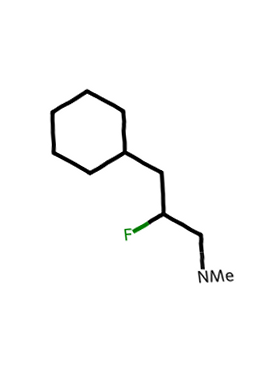 CNCC(F)CC1CCCCC1